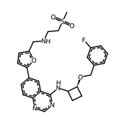 CS(=O)(=O)CCNCc1ccc(-c2ccc3ncnc(NC4CC[C@@H]4OCc4cccc(F)c4)c3c2)o1